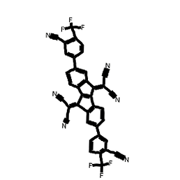 N#CC(C#N)=C1C2=C(C(=C(C#N)C#N)c3cc(-c4ccc(C(F)(F)F)c(C#N)c4)ccc32)c2ccc(-c3ccc(C(F)(F)F)c(C#N)c3)cc21